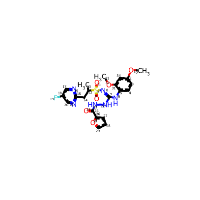 COc1ccc(NC(=NS(=O)(=O)C(C)Cc2ncc(F)cn2)NNC(=O)c2ccco2)c(OC)c1